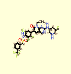 CCn1c(=O)c(-c2cc(F)c(NS(=O)(=O)Cc3cccc(C(F)(F)F)c3)c(F)c2F)cc2cnc(N[C@@H]3CNC[C@@H](F)C3)nc21